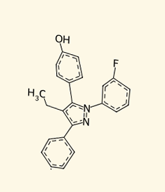 CCc1c(-c2cc[c]cc2)nn(-c2cccc(F)c2)c1-c1ccc(O)cc1